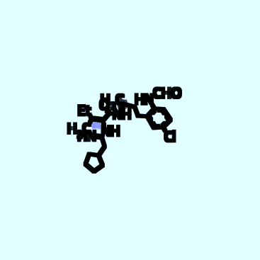 CC/C(C)=C(/NC(=N)CC1CCCC1)C(=O)N[C@H](C)CCc1cc(Cl)ccc1NC=O